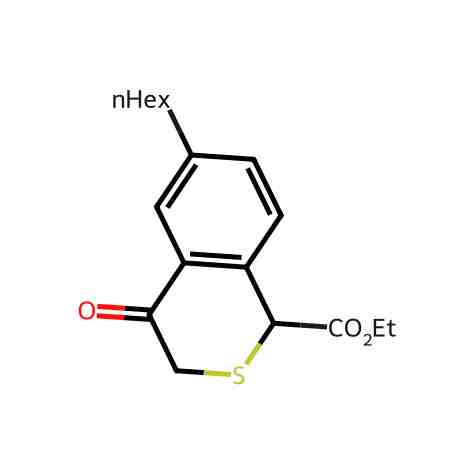 CCCCCCc1ccc2c(c1)C(=O)CSC2C(=O)OCC